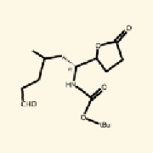 CC(CCC=O)C[C@@H](NC(=O)OC(C)(C)C)C1CCC(=O)O1